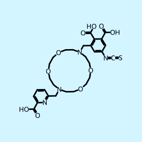 O=C(O)c1cccc(CN2CCOCCOCCN(Cc3cc(N=C=S)cc(C(=O)O)c3C(=O)O)CCOCCOCC2)n1